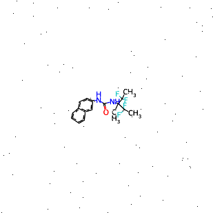 CC(F)(F)C(C)(NC(=O)Nc1ccc2ccccc2c1)C(C)(F)F